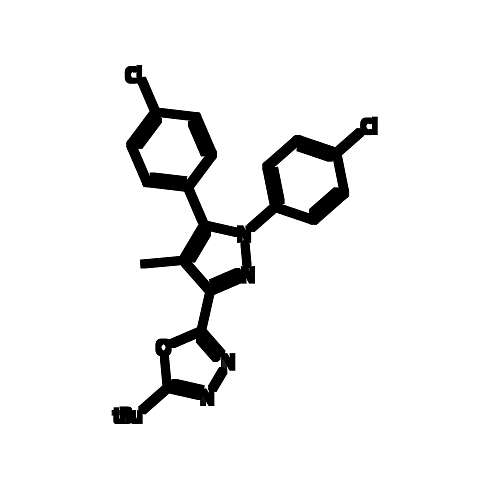 Cc1c(-c2nnc(C(C)(C)C)o2)nn(-c2ccc(Cl)cc2)c1-c1ccc(Cl)cc1